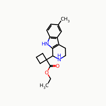 CCOC(=O)C1(C2NCCc3c2[nH]c2ccc(C)cc32)CCC1